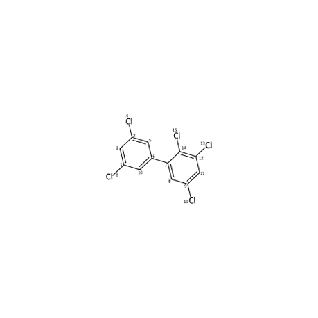 Clc1cc(Cl)cc(-c2cc(Cl)cc(Cl)c2Cl)c1